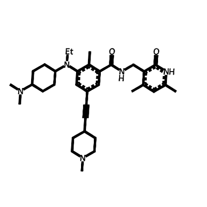 CCN(c1cc(C#CC2CCN(C)CC2)cc(C(=O)NCc2c(C)cc(C)[nH]c2=O)c1C)C1CCC(N(C)C)CC1